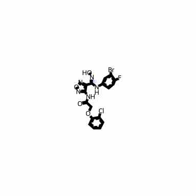 O=C(COc1ccccc1Cl)Nc1nonc1/C(=N\O)Nc1ccc(F)c(Br)c1